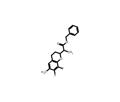 Cc1cc2c(c(F)c1F)OC(C(C)C(=O)OCc1ccccc1)CC2